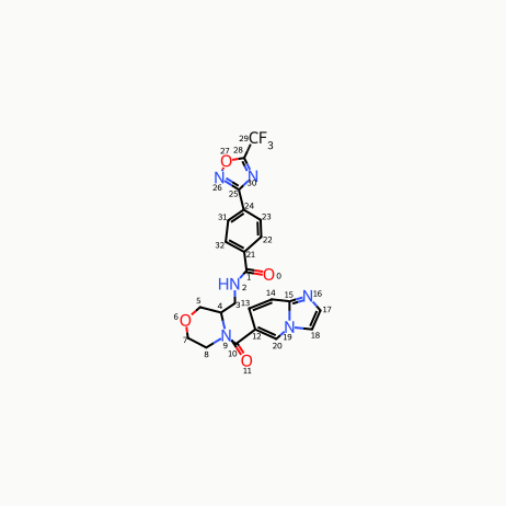 O=C(NCC1COCCN1C(=O)c1ccc2nccn2c1)c1ccc(-c2noc(C(F)(F)F)n2)cc1